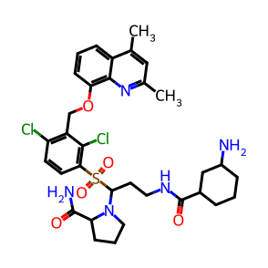 Cc1cc(C)c2cccc(OCc3c(Cl)ccc(S(=O)(=O)C(CCNC(=O)C4CCCC(N)C4)N4CCCC4C(N)=O)c3Cl)c2n1